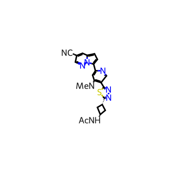 CNc1cc(-c2ccc3cc(C#N)cnn23)ncc1-c1nnc([C@H]2C[C@H](NC(C)=O)C2)s1